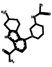 CCC(=O)NC1CCCN(c2ccc(C(N)=O)c3[nH]c4c(c23)CCC(C)C4)C1